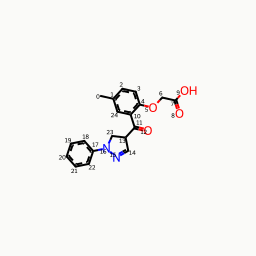 Cc1ccc(OCC(=O)O)c(C(=O)C2C=NN(c3ccccc3)C2)c1